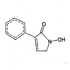 O=C1C(c2ccccc2)=CCN1O